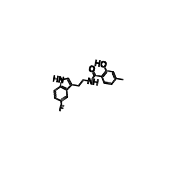 Cc1ccc(C(=O)NCCc2c[nH]c3ccc(F)cc23)c(O)c1